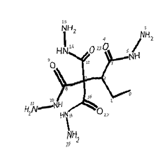 CCC(C(=O)NN)C(C(=O)NN)(C(=O)NN)C(=O)NN